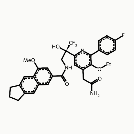 CCOc1c(CC(N)=O)cc([C@@](O)(CNC(=O)c2cc(OC)c3cc4c(cc3c2)CCC4)C(F)(F)F)nc1-c1ccc(F)cc1